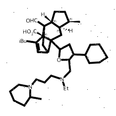 CCC(C)C1=CC2CC3(C=O)[C@@H]4CC[C@@H](C)[C@H]4CC2(C2CC(C4CCCCC4)C(CN(CC)CCCN4CCCCC4C)O2)[C@]13C(=O)O